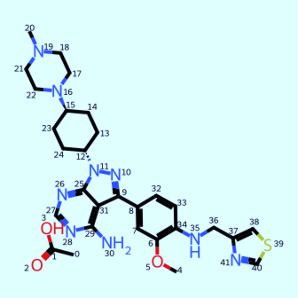 CC(=O)O.COc1cc(-c2nn([C@H]3CC[C@H](N4CCN(C)CC4)CC3)c3ncnc(N)c23)ccc1NCc1cscn1